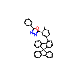 CC1C=CC(c2cccc3c2-c2ccccc2C32c3ccccc3-c3ccccc32)=CC1c1nnc(-c2ccccc2)o1